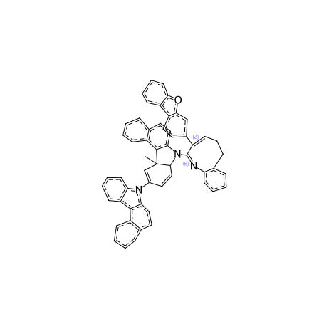 CC12C=C(n3c4ccccc4c4c5ccccc5ccc43)C=CC1N(C1=N/c3ccccc3CC/C=C\1c1ccc3c(c1)oc1ccccc13)c1ccc3ccccc3c12